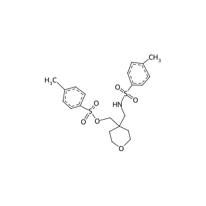 Cc1ccc(S(=O)(=O)NCC2(COS(=O)(=O)c3ccc(C)cc3)CCOCC2)cc1